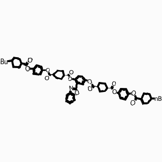 CCCCC1CCC(C(=O)Oc2ccc(OC(=O)[C@H]3CC[C@H](C(=O)Oc4ccc(OC(=O)[C@H]5CC[C@H](C(=O)Oc6ccc(OC(=O)C7CCC(CCCC)CC7)cc6)CC5)c(-c5nc6ccccc6o5)c4)CC3)cc2)CC1